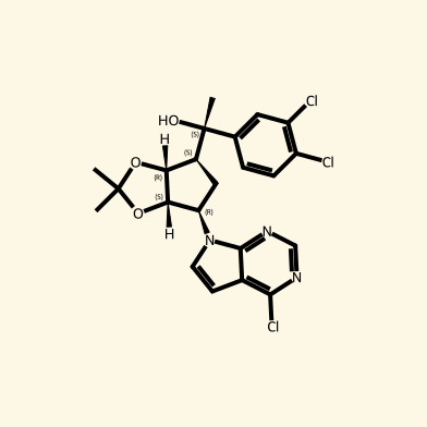 CC1(C)O[C@@H]2[C@H](O1)[C@@H]([C@](C)(O)c1ccc(Cl)c(Cl)c1)C[C@H]2n1ccc2c(Cl)ncnc21